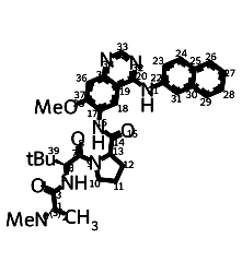 CN[C@@H](C)C(=O)N[C@H](C(=O)N1CCCC1C(=O)Nc1cc2c(Nc3ccc4ccccc4c3)ncnc2cc1OC)C(C)(C)C